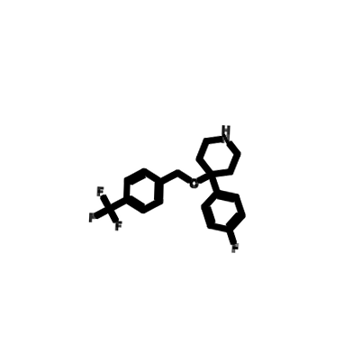 Fc1ccc(C2(OCc3ccc(C(F)(F)F)cc3)CCNCC2)cc1